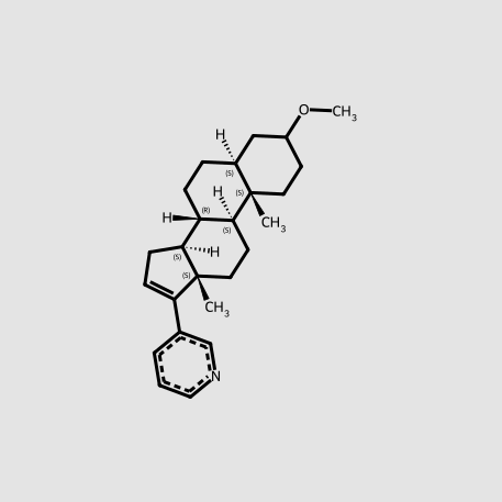 COC1CC[C@@]2(C)[C@@H](CC[C@@H]3[C@@H]2CC[C@]2(C)C(c4cccnc4)=CC[C@@H]32)C1